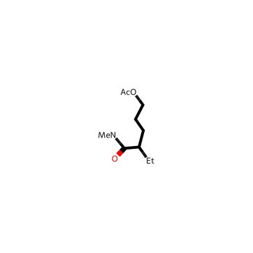 CCC(CCCOC(C)=O)C(=O)NC